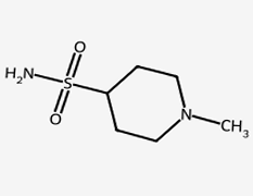 CN1CCC(S(N)(=O)=O)CC1